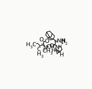 CCC(C)[C@@H](C(=O)OC12CC3CC(C1)CC([C@H](N)C(=O)N1[C@H](C#N)C[C@@H]4C[C@@H]41)(C3)C2)N(C)C